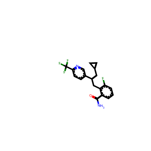 NC(=O)c1cccc(F)c1CC(CC1CC1)c1ccc(C(F)(F)F)nc1